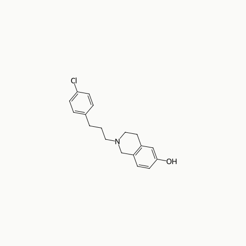 Oc1ccc2c(c1)CCN(CCCc1ccc(Cl)cc1)C2